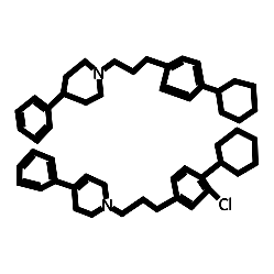 Clc1cc(CCCN2CC=C(c3ccccc3)CC2)ccc1C1CCCCC1.c1ccc(C2CCN(CCCc3ccc(C4CCCCC4)cc3)CC2)cc1